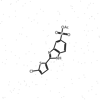 CC(=O)OS(=O)(=O)c1ccc2[nH]c(-c3ccc(Cl)s3)nc2c1